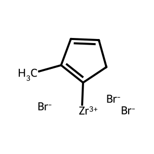 CC1=[C]([Zr+3])CC=C1.[Br-].[Br-].[Br-]